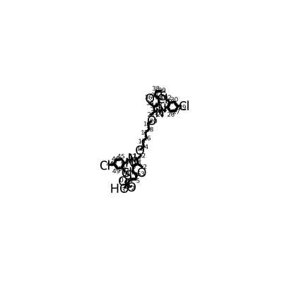 O=S(=O)(O)c1cc2c(s1)-c1c(c(COCCCCCCOCc3nn(-c4ccc(Cl)cc4Cl)c4c3COc3ccsc3-4)nn1-c1ccc(Cl)cc1Cl)CO2